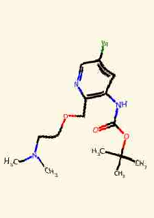 CN(C)CCOCc1ncc(Br)cc1NC(=O)OC(C)(C)C